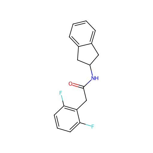 O=C(Cc1c(F)cccc1F)NC1Cc2ccccc2C1